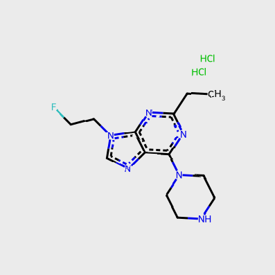 CCc1nc(N2CCNCC2)c2ncn(CCF)c2n1.Cl.Cl